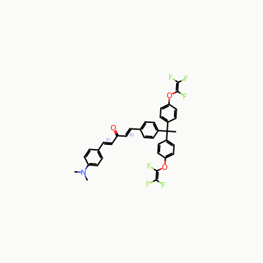 CN(C)c1ccc(/C=C/C(=O)/C=C/c2ccc(C(C)(c3ccc(OC(F)=C(F)F)cc3)c3ccc(OC(F)=C(F)F)cc3)cc2)cc1